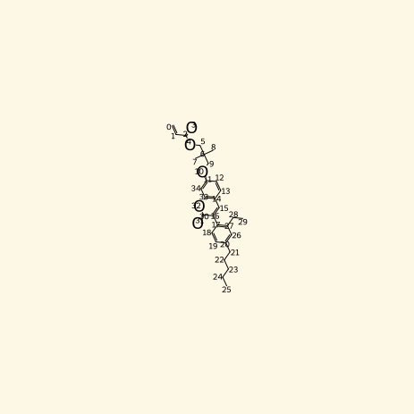 C=CC(=O)OCC(C)(C)COc1ccc2cc(-c3ccc(CCCCC)cc3CC)c(=O)oc2c1